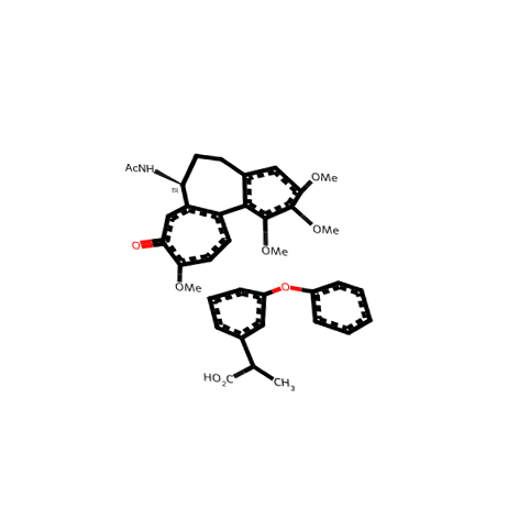 CC(C(=O)O)c1cccc(Oc2ccccc2)c1.COc1cc2c(c(OC)c1OC)-c1ccc(OC)c(=O)cc1[C@@H](NC(C)=O)CC2